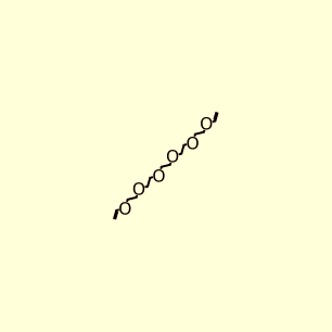 C=COCCOCCOCCOCCOCCOC=C